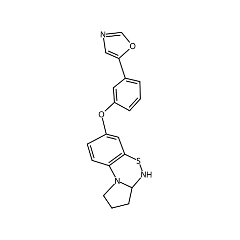 c1cc(Oc2ccc3c(c2)SNC2CCCN32)cc(-c2cnco2)c1